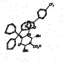 CCCC[C@@H](C(=O)C(C#N)=P(c1ccccc1)(c1ccccc1)c1ccccc1)N(C(=O)O)[C@H](Cc1nnc(-c2ccc(C(F)(F)F)cc2)o1)C(C)(C)C